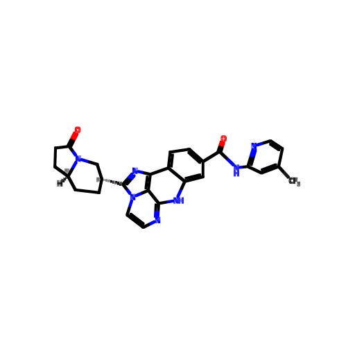 O=C(Nc1cc(C(F)(F)F)ccn1)c1ccc2c(c1)Nc1nccn3c([C@@H]4CC[C@H]5CCC(=O)N5C4)nc-2c13